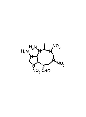 CC1N(N)C2C(N(C=O)CN([N+](=O)[O-])CN1[N+](=O)[O-])N([N+](=O)[O-])CN2N